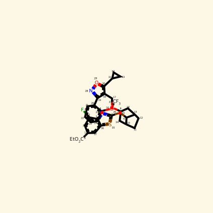 CCOC(=O)c1cc(F)c2nc(SC3C4CCC3CC(OCc3c(-c5ccccc5OC(F)(F)F)noc3C3CC3)C4)sc2c1